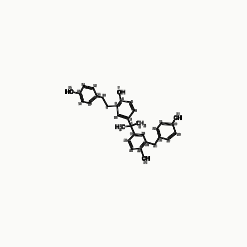 CC(C)(c1ccc(O)c(CCc2ccc(O)cc2)c1)c1ccc(O)c(Cc2ccc(O)cc2)c1